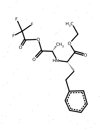 CCOC(=O)[C@H](CCc1ccccc1)N[C@@H](C)C(=O)OC(=O)C(F)(F)F